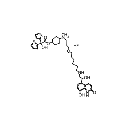 CN(CCCOCCCCCCNCC(O)c1ccc(O)c2[nH]c(=O)ccc12)C1CCC(OC(=O)C(O)(c2cccs2)c2cccs2)CC1.F